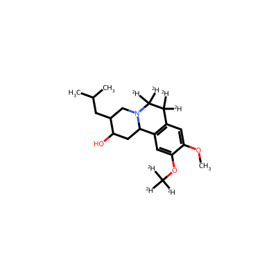 [2H]C([2H])([2H])Oc1cc2c(cc1OC)C([2H])([2H])C([2H])([2H])N1CC(CC(C)C)C(O)CC21